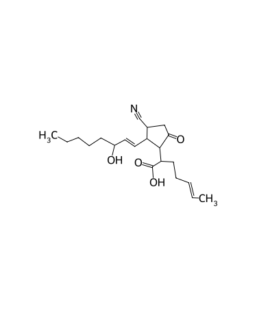 C/C=C/CCC(C(=O)O)C1C(=O)CC(C#N)C1/C=C/C(O)CCCCC